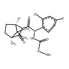 CC(C)(C)OC(=O)NN(C(=O)C1C(=O)[C@@]2(C)CC[C@@H]1C2(C)C)c1ccc(F)cc1Cl